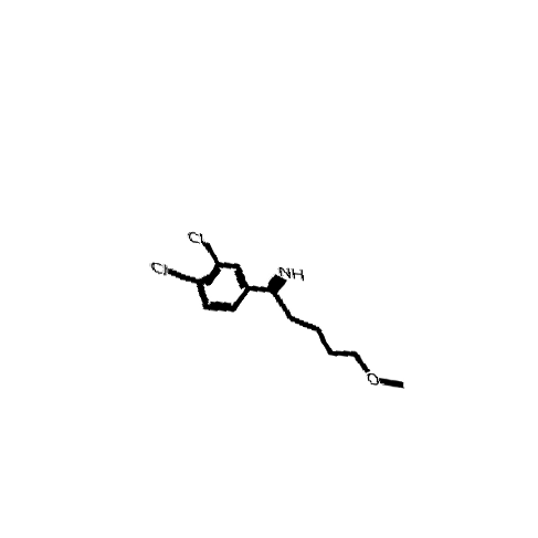 COCCCCC(=N)c1ccc(Cl)c(Cl)c1